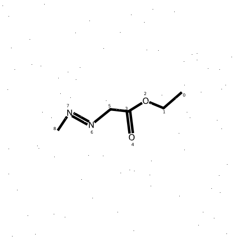 CCOC(=O)CN=NC